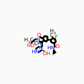 Cc1c(F)cc(C(=O)NC2CC2)cc1-c1ccc2c(=O)n(CC(C)(C)CO)cc(CN3CCNC[C@@H]3CO)c2c1